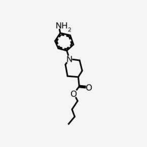 CCCCOC(=O)C1CCN(c2ccc(N)cc2)CC1